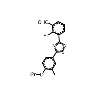 CCc1c(C=O)cccc1-c1nsc(-c2ccc(OC(C)C)c(C)c2)n1